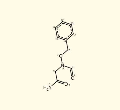 NC(=O)CN(C=O)OCc1ccccc1